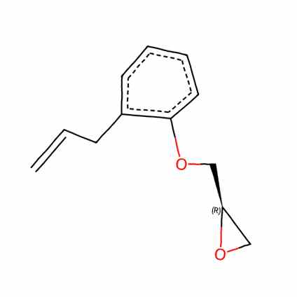 C=CCc1ccccc1OC[C@H]1CO1